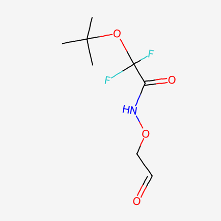 CC(C)(C)OC(F)(F)C(=O)NOCC=O